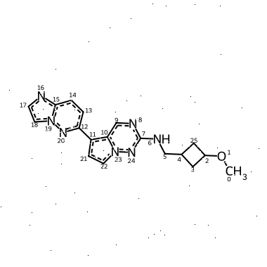 COC1CC(CNc2ncc3c(-c4ccc5nccn5n4)ccn3n2)C1